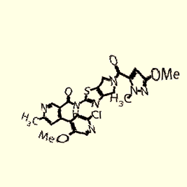 COc1cc(C(=O)N2Cc3nc(NC(=O)c4cnc(C)cc4-c4cc(Cl)ncc4OC)sc3C2)n(C)n1